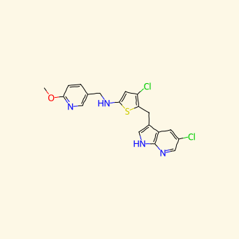 COc1ccc(CNc2cc(Cl)c(Cc3c[nH]c4ncc(Cl)cc34)s2)cn1